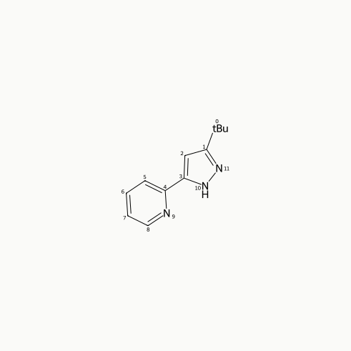 CC(C)(C)c1cc(-c2ccccn2)[nH]n1